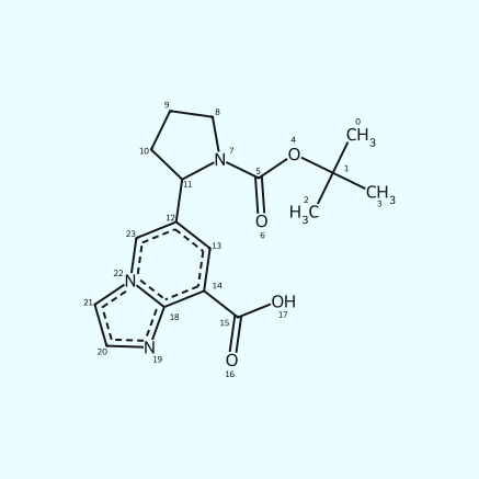 CC(C)(C)OC(=O)N1CCCC1c1cc(C(=O)O)c2nccn2c1